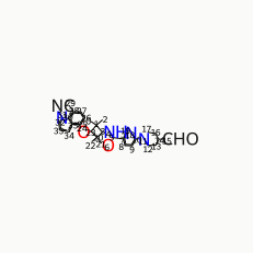 CC1(C)[C@H](NC(=O)c2ccc(N3CCC(C=O)CC3)nc2)C(C)(C)[C@H]1Oc1ccc(C#N)c2ncccc12